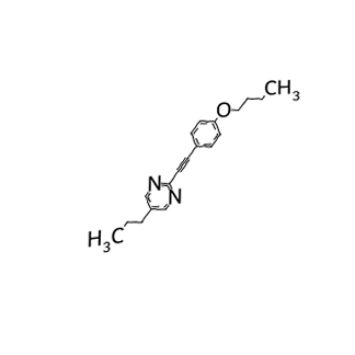 CCCCOc1ccc(C#Cc2ncc(CCC)cn2)cc1